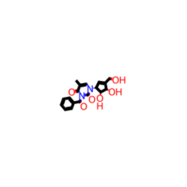 Cc1cn([C@@H]2C=C(CO)[C@@H](O)[C@H]2O)c(=O)n(C(=O)c2ccccc2)c1=O